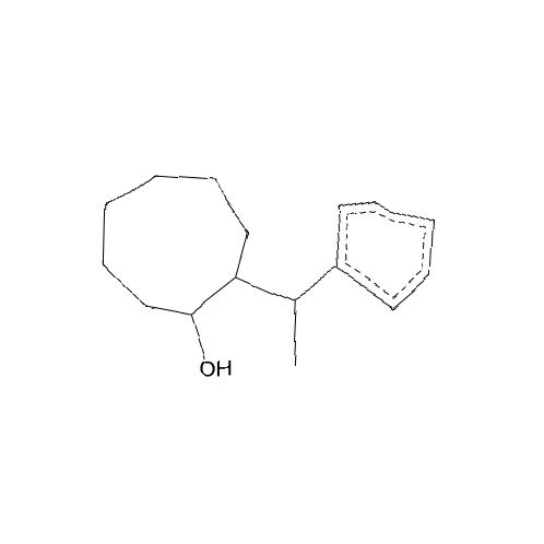 CC(c1ccccc1)C1CCCCCCC1O